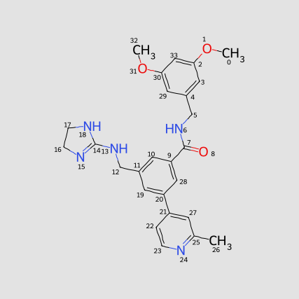 COc1cc(CNC(=O)c2cc(CNC3=NCCN3)cc(-c3ccnc(C)c3)c2)cc(OC)c1